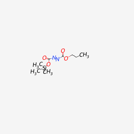 CCCOC(=O)/N=N/C(=O)O[Si](C)(C)C